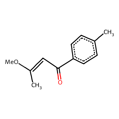 COC(C)=CC(=O)c1ccc(C)cc1